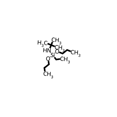 CCCO[Si](CC)(NC(C)(C)C)OCCC